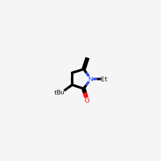 C=C1CC(C(C)(C)C)C(=O)N1CC